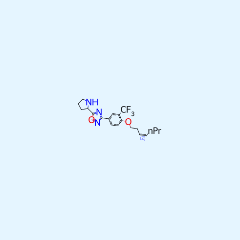 CCC/C=C\CCOc1ccc(-c2noc(C3CCCN3)n2)cc1C(F)(F)F